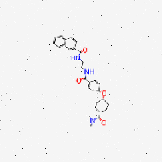 CN(C)C(=O)[C@H]1CC[C@@H](Oc2ccc(C(=O)NCCNC(=O)c3ccc4ccccc4c3)cc2)CC1